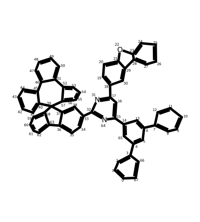 c1ccc(-c2cc(-c3ccccc3)cc(-c3cc(-c4ccc5oc6ccccc6c5c4)nc(-c4ccc5c(c4)C4(c6ccccc6-c6ccccc6-c6ccccc64)c4ccccc4-5)n3)c2)cc1